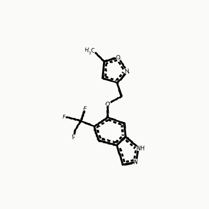 Cc1cc(COc2cc3[nH]ncc3cc2C(F)(F)F)no1